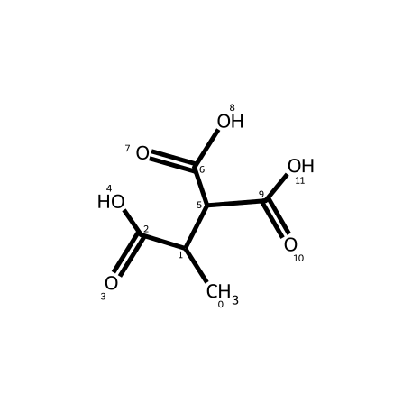 CC(C(=O)O)C(C(=O)O)C(=O)O